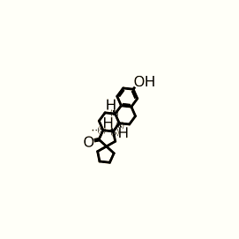 C[C@]12CC[C@@H]3c4ccc(O)cc4CC[C@H]3[C@@H]1CC1(CCCC1)C2=O